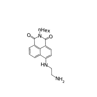 CCCCCCN1C(=O)c2cccc3c(NCCN)ccc(c23)C1=O